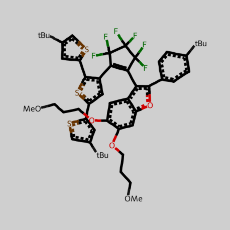 COCCCOc1cc2oc(-c3ccc(C(C)(C)C)cc3)c(C3=C(c4cc(-c5cc(C(C)(C)C)cs5)sc4-c4cc(C(C)(C)C)cs4)C(F)(F)C(F)(F)C3(F)F)c2cc1OCCCOC